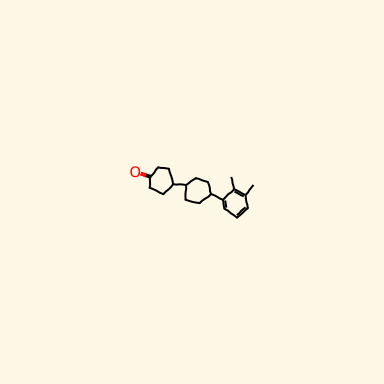 Cc1cccc(C2CCC(C3CCC(=O)CC3)CC2)c1C